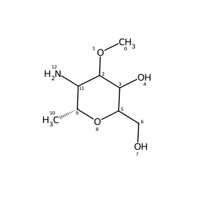 COC1C(O)C(CO)O[C@H](C)C1N